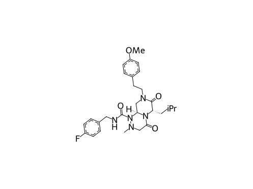 COc1ccc(CCN2C[C@H]3N(C(=O)CN(C)N3C(=O)NCc3ccc(F)cc3)[C@@H](CC(C)C)C2=O)cc1